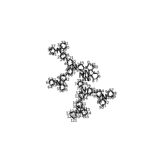 c1ccc(-c2ccccc2-c2nc(-c3cccc(-n4c5ccc(-c6ccc7c(c6)c6ccccc6n7-c6ccccc6)cc5c5cc(-c6ccc7c(c6)c6ccccc6n7-c6ccccc6)ccc54)c3)nc(-c3cccc(-n4c5ccc(-c6ccc7c(c6)c6ccccc6n7-c6ccccc6)cc5c5cc(-c6ccc7c(c6)c6ccccc6n7-c6ccccc6)ccc54)c3)n2)cc1